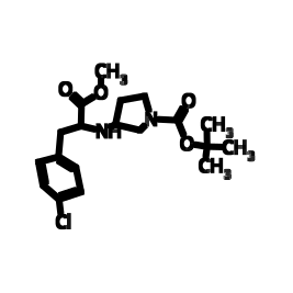 COC(=O)C(Cc1ccc(Cl)cc1)NC1CCN(C(=O)OC(C)(C)C)C1